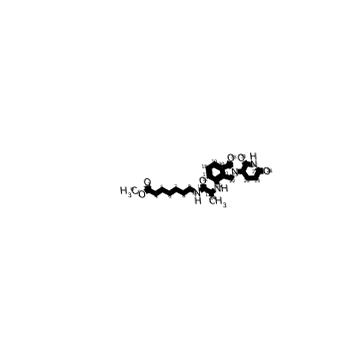 COC(=O)CCCCCCNC(=O)C(C)Nc1cccc2c1CN(C1CCC(=O)NC1=O)C2=O